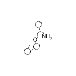 NCC(CCOc1cccc2c1Cc1ccccc1-2)c1ccccc1